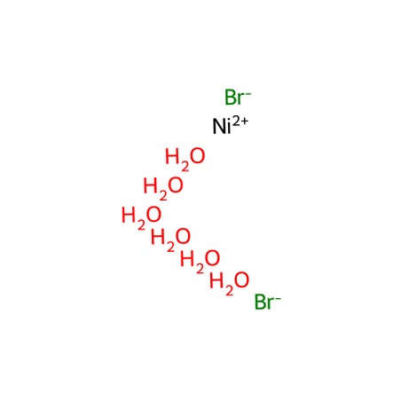 O.O.O.O.O.O.[Br-].[Br-].[Ni+2]